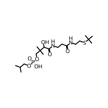 CC(C)COP(=O)(O)OCC(C)(C)C(O)C(=O)NCCC(=O)NCCSC(C)(C)C